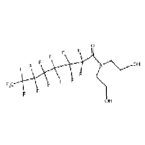 O=C(N(CCO)CCO)C(F)(F)C(F)(F)C(F)(F)C(F)(F)C(F)(F)C(F)(F)C(F)(F)F